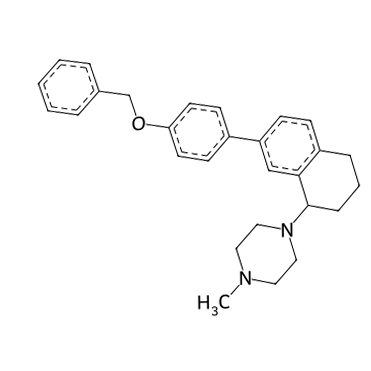 CN1CCN(C2CCCc3ccc(-c4ccc(OCc5ccccc5)cc4)cc32)CC1